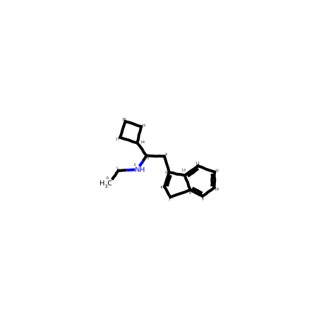 CCNC(CC1=CCc2ccccc21)C1CCC1